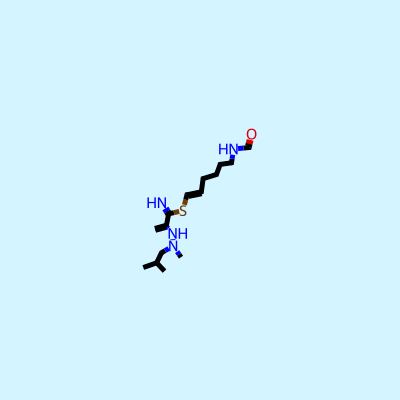 C=C(NN(C)CC(C)C)C(=N)S/C=C/CCCCNC=O